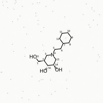 OC[C@H]1CN(CCC2CCCCC2)C[C@@H](O)[C@@H]1O